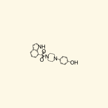 O=S(=O)(c1cccc2cc[nH]c12)N1CCN(c2ccc(O)cc2)CC1